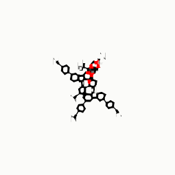 N#Cc1ccc(-c2ccc3c(c2)c2cc(-c4ccc(C#N)cc4)ccc2n3-c2ccc(-c3cc(C(F)(F)F)cc(C(F)(F)F)c3)cc2-c2ccc(C#N)cc2-n2c3ccc(-c4ccc(C#N)cc4)cc3c3cc(-c4ccc(C#N)cc4)ccc32)cc1